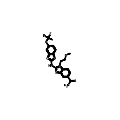 COCCn1c(Nc2nc3ccc(OC(F)(F)F)cc3o2)nc2cc(C(N)=O)ccc21